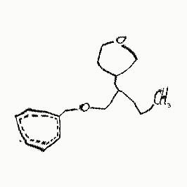 CCC(COc1cc[c]cc1)C1COC1